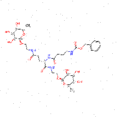 C[C@@H]1O[C@@H](OCCNC(=O)CC[C@H](NC(=O)CCCNC(=O)OCc2ccccc2)C(=O)NCCO[C@@H]2O[C@@H](C)[C@@H](O)[C@@H](O)[C@@H]2O)[C@@H](O)[C@H](O)[C@@H]1O